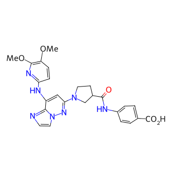 COc1ccc(Nc2cc(N3CCC(C(=O)Nc4ccc(C(=O)O)cc4)C3)nn3ccnc23)nc1OC